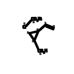 C=CC1CC1C(=O)O.CCOC(=O)Cl